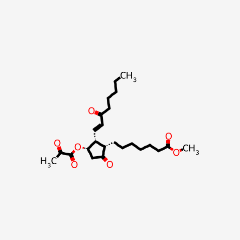 CCCCCC(=O)C=C[C@H]1[C@@H](OC(=O)C(C)=O)CC(=O)[C@H]1CCCCCCC(=O)OC